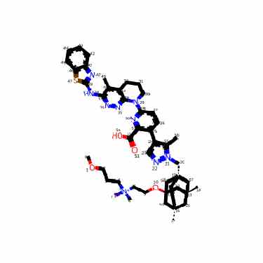 COCCC[N+](C)(I)CCO[C@]12C[C@@]3(C)C[C@](C)(C[C@](Cn4ncc(-c5ccc(N6CCCc7c6nnc(Nc6nc8ccccc8s6)c7C)nc5C(=O)O)c4C)(C3)C1)C2